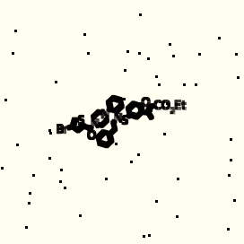 CCOC(=O)c1oc2ccc(SN(CCc3ccccc3)c3ccccc3N3CCN(C(=O)c4cc(Br)cs4)CC3)cc2c1C